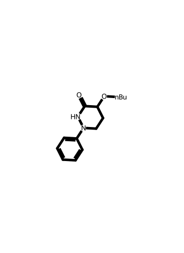 CCCCOC1CCN(c2ccccc2)NC1=O